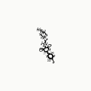 CC(=O)N1CCN(CCNC=C2C(=O)CC(c3ccc(C)cc3)CC2=O)CC1